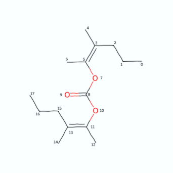 CCCC(C)=C(C)OC(=O)OC(C)=C(C)CCC